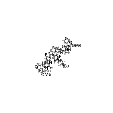 COC(=O)N[C@H](C(=O)N1CCC[C@H]1c1nc2cc([C@H]3CC[C@H](c4cc5nc([C@@H]6CCCN6C(=O)[C@@H](NC(=O)OC)C6CCOCC6)[nH]c5cc4F)N3c3cc(F)c(N4CCC(C(C)(C)C)CC4)c(F)c3)c(F)cc2[nH]1)C1CCOCC1